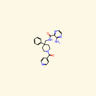 Nc1nccnc1C(=O)NCC1(c2ccccc2)CCN(C(=O)c2ccncc2)CC1